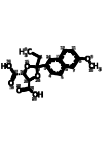 CCC1(c2ccc3cc(OC)ccc3c2)O[C@@H](C(=O)O)[C@H](C(=O)O)O1